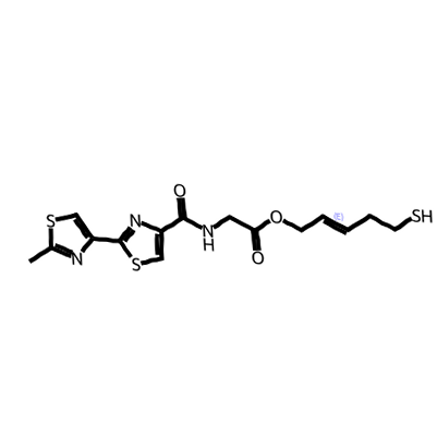 Cc1nc(-c2nc(C(=O)NCC(=O)OC/C=C/CCS)cs2)cs1